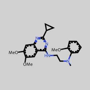 COc1cc2nc(C3CC3)nc(NCCN(C)c3ccccc3OC)c2cc1OC